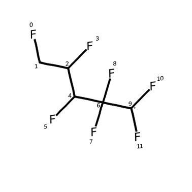 FCC(F)C(F)C(F)(F)[C](F)F